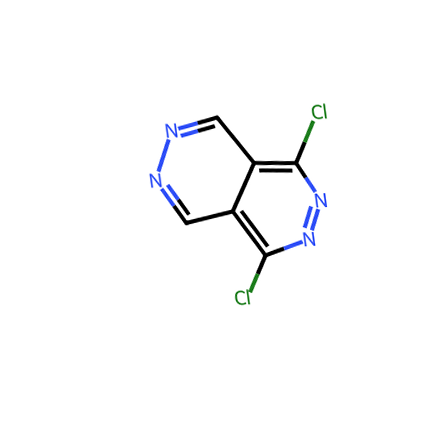 Clc1nnc(Cl)c2cnncc12